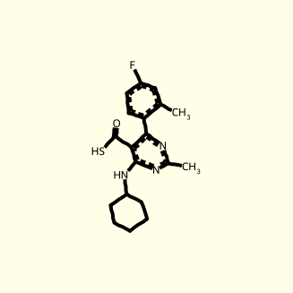 Cc1nc(NC2CCCCC2)c(C(=O)S)c(-c2ccc(F)cc2C)n1